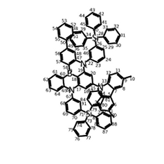 Cc1ccc2c(c1)c1cc(C)ccc1n2-c1cc2c3c(c1)N(c1cccc([Si](c4ccccc4)(c4ccccc4)c4ccccc4)c1)c1cc(-c4ccccc4)ccc1B3c1ccccc1N2c1cccc([Si](c2ccccc2)(c2ccccc2)c2ccccc2)c1